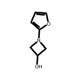 OC1CN(c2ccco2)C1